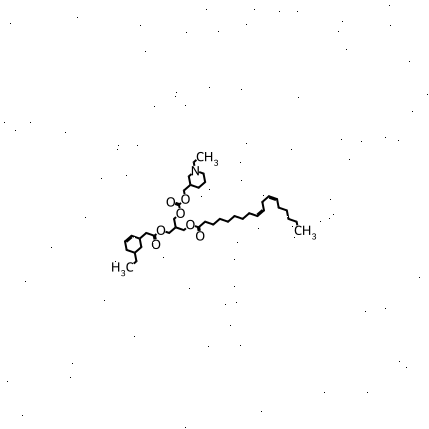 CCCCC/C=C\C/C=C\CCCCCCCC(=O)OCC(COC(=O)CC1C=CCC(CC)C1)COC(=O)OCC1CCCN(CC)C1